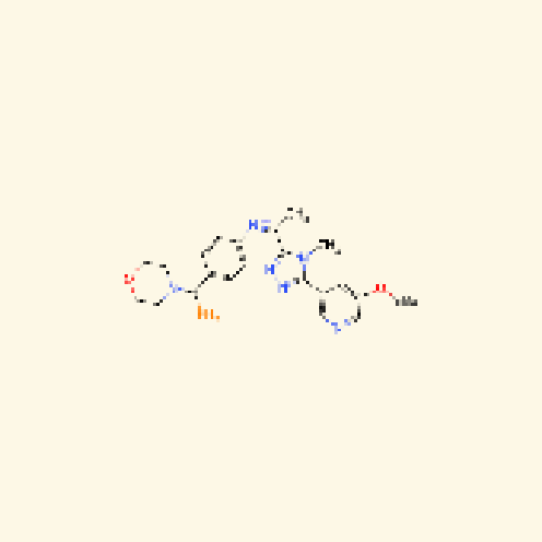 CCCCOc1cncc(-c2nnc(/C(C)=N\c3ccc(C(P)N4CCOCC4)cc3)n2C)c1